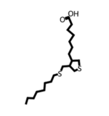 CCCCCCCCSCC1CSCC1CCCCCCC(=O)O